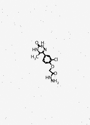 CC1NC(=O)NN=C1c1ccc(OCC(=O)NN)c(Cl)c1